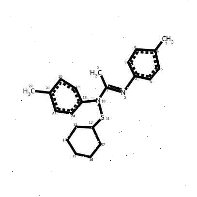 C/C(=N\c1ccc(C)cc1)N(SC1CCCCC1)c1ccc(C)cc1